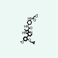 COCC(=O)NC1CCC(NC(=O)c2c(C)[nH]c3c(-c4ccc(OC)cc4OCC4CC4)ccnc23)CC1